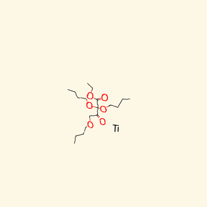 CCCCOCC(=O)C(OCCCC)(OCCCC)C(=O)OCC.[Ti]